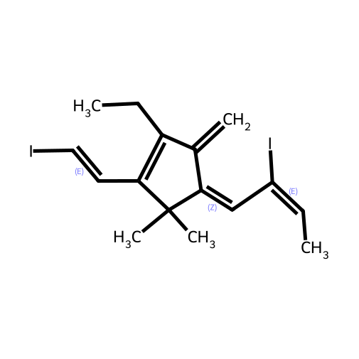 C=C1C(CC)=C(/C=C/I)C(C)(C)/C1=C/C(I)=C\C